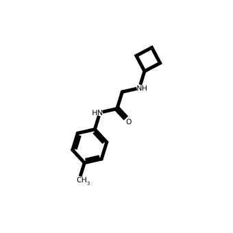 Cc1ccc(NC(=O)CNC2CCC2)cc1